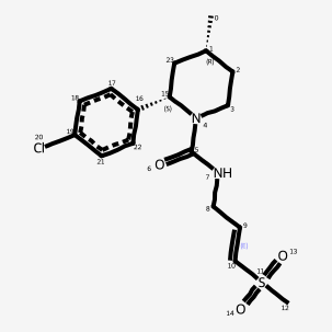 C[C@@H]1CCN(C(=O)NC/C=C/S(C)(=O)=O)[C@H](c2ccc(Cl)cc2)C1